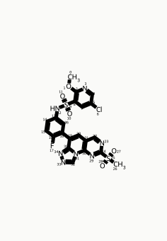 COc1ncc(Cl)cc1S(=O)(=O)Nc1ccc(F)c(-c2cc3cnc(S(C)(=O)=O)nc3n3cnnc23)c1